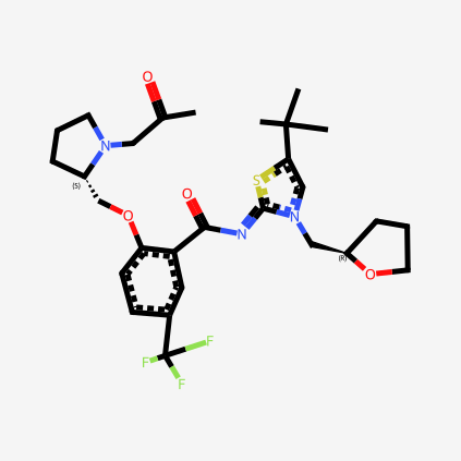 CC(=O)CN1CCC[C@H]1COc1ccc(C(F)(F)F)cc1C(=O)N=c1sc(C(C)(C)C)cn1C[C@H]1CCCO1